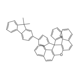 CC1(C)c2ccccc2-c2ccc(-c3ccc(C4(c5ccccc5)c5c(ccc6ccccc56)Oc5ccc6ccccc6c54)cc3)cc21